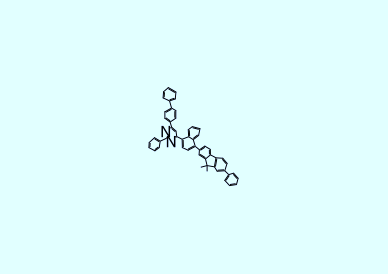 CC1(C)c2cc(-c3ccccc3)ccc2-c2ccc(-c3ccc(-c4cc(-c5ccc(-c6ccccc6)cc5)nc(-c5ccccc5)n4)c4ccccc34)cc21